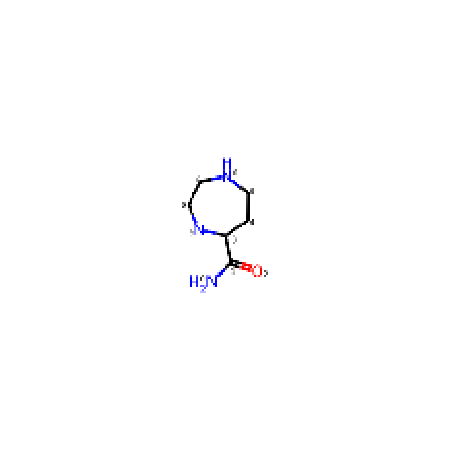 NC(=O)C1CCNCC[N]1